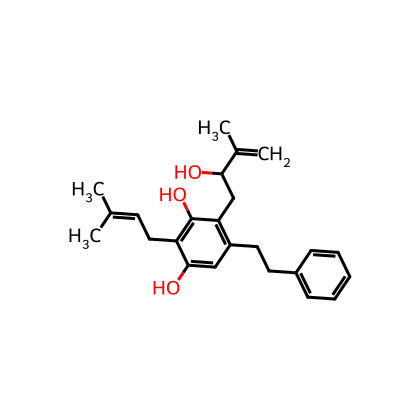 C=C(C)C(O)Cc1c(CCc2ccccc2)cc(O)c(CC=C(C)C)c1O